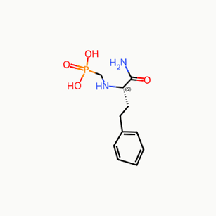 NC(=O)[C@H](CCc1ccccc1)NCP(=O)(O)O